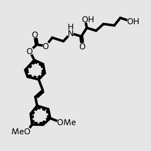 COc1cc(C=Cc2ccc(OC(=O)OCCNC(=O)C(O)CCCCO)cc2)cc(OC)c1